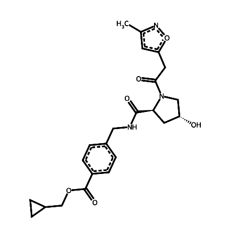 Cc1cc(CC(=O)N2C[C@H](O)C[C@H]2C(=O)NCc2ccc(C(=O)OCC3CC3)cc2)on1